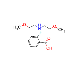 COCCNCCOC.O=C(O)c1ccccc1F